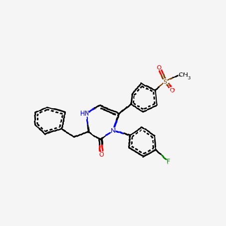 CS(=O)(=O)c1ccc(C2=CNC(Cc3ccccc3)C(=O)N2c2ccc(F)cc2)cc1